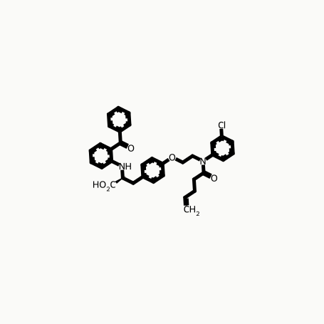 C=CCCC(=O)N(CCOc1ccc(C[C@H](Nc2ccccc2C(=O)c2ccccc2)C(=O)O)cc1)c1cccc(Cl)c1